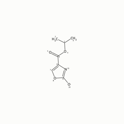 CC(C)OC(=O)c1coc([O])n1